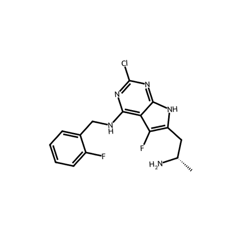 C[C@H](N)Cc1[nH]c2nc(Cl)nc(NCc3ccccc3F)c2c1F